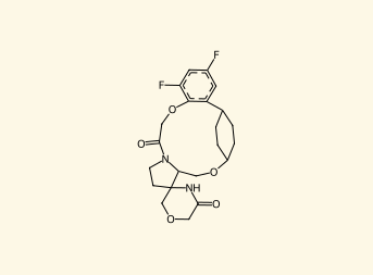 O=C1COCC2(CCN3C(=O)COc4c(F)cc(F)cc4C4CCC(CC4)OCC32)N1